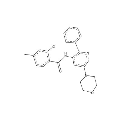 Cc1ccc(C(=O)Nc2cc(N3CCOCC3)cnc2-c2ccccc2)c(Cl)c1